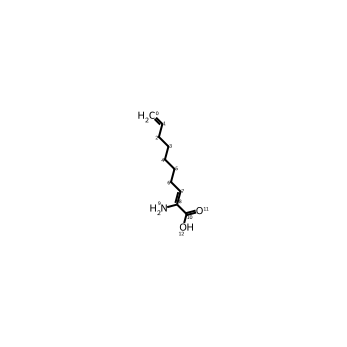 C=CCCCCCC=C(N)C(=O)O